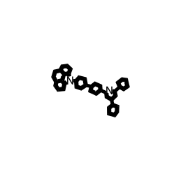 c1ccc(-c2cc(-c3ccccc3)nc(-c3ccc(-c4ccc(-n5c6cccc7ccc8cccc5c8c76)cc4)cc3)c2)cc1